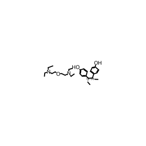 CCN(CC)CCOCCN(CC)CC.CC[C@H](c1ccc(O)cc1)[C@@H](CC)c1ccc(O)cc1